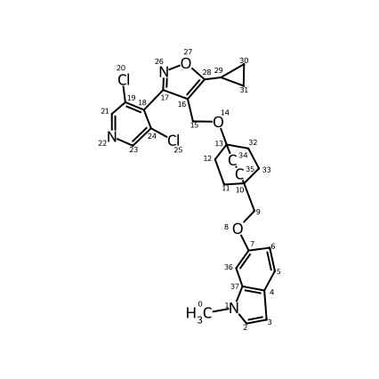 Cn1ccc2ccc(OCC34CCC(OCc5c(-c6c(Cl)cncc6Cl)noc5C5CC5)(CC3)CC4)cc21